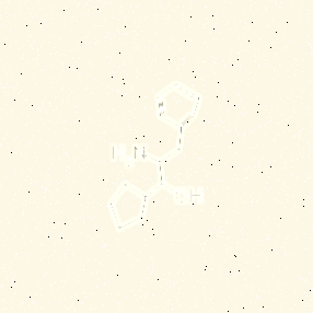 NC(Cc1ccccc1)C(O)C1CCCC1